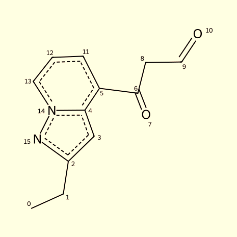 CCc1cc2c(C(=O)CC=O)cccn2n1